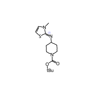 Cn1ccs/c1=N\C1CCN(C(=O)OC(C)(C)C)CC1